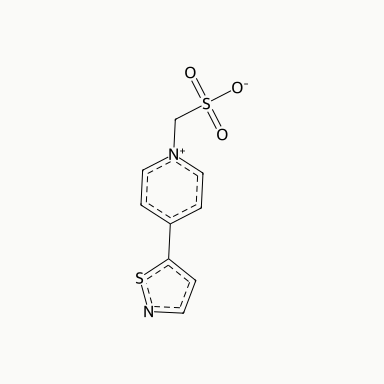 O=S(=O)([O-])C[n+]1ccc(-c2ccns2)cc1